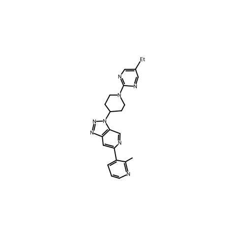 CCc1cnc(N2CCC(n3nnc4cc(-c5cccnc5C)ncc43)CC2)nc1